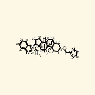 C[C@]12CC[C@H](OCc3nccs3)CC1=CC[C@@H]1[C@@H]2CC[C@]2(C)C(n3cnc4ccccc43)=CC[C@@H]12